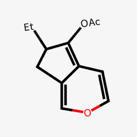 CCC1CC2=COC=CC2=C1OC(C)=O